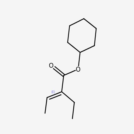 C/C=C(\CC)C(=O)OC1CCCCC1